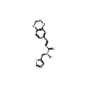 CCN(Cc1cccs1)C(=O)C=Cc1ccc2c(c1)OCCO2